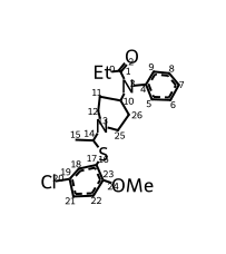 CCC(=O)N(c1ccccc1)C1CCN(C(C)Sc2cc(Cl)ccc2OC)CC1